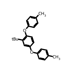 Cc1ccc(Oc2ccc(Oc3ccc(C)cc3)c(C(C)(C)C)c2)cc1